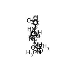 Cc1noc(C)c1C(=O)NCCn1ncc2cc(NCc3ccc(Cl)c(Cl)c3)[nH]c(=O)c21